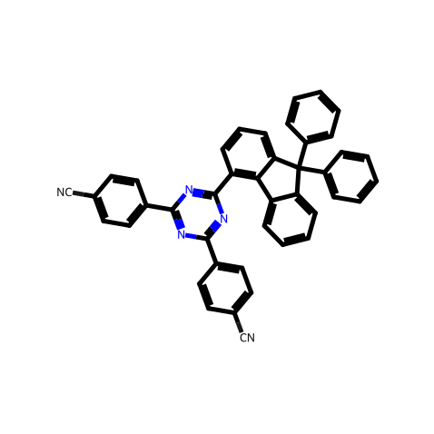 N#Cc1ccc(-c2nc(-c3ccc(C#N)cc3)nc(-c3cccc4c3-c3ccccc3C4(c3ccccc3)c3ccccc3)n2)cc1